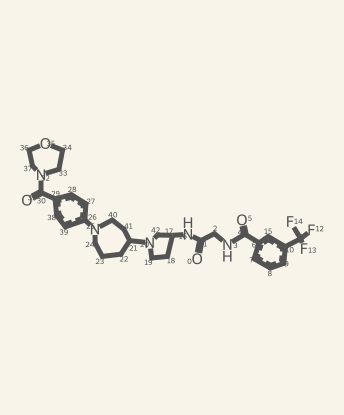 O=C(CNC(=O)c1cccc(C(F)(F)F)c1)NC1CCN(C2CCCN(c3ccc(C(=O)N4CCOCC4)cc3)CC2)C1